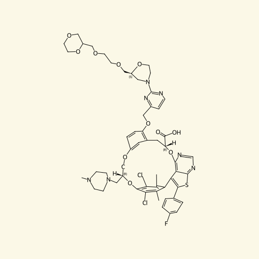 Cc1c(Cl)c2c(Cl)c(C)c1-c1c(-c3ccc(F)cc3)sc3ncnc(c13)O[C@@H](C(=O)O)Cc1cc(ccc1OCc1ccnc(N3CCO[C@H](COCCOCC4COCCO4)C3)n1)OC[C@@H](CN1CCN(C)CC1)O2